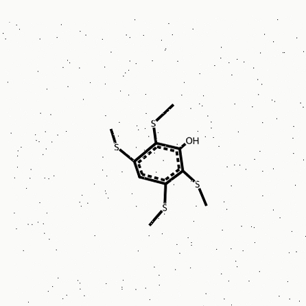 CSc1cc(SC)c(SC)c(O)c1SC